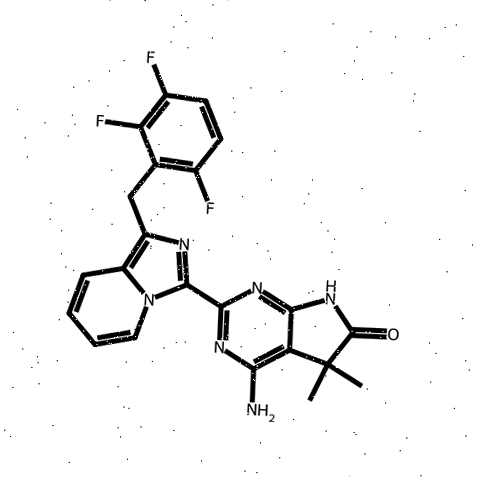 CC1(C)C(=O)Nc2nc(-c3nc(Cc4c(F)ccc(F)c4F)c4ccccn34)nc(N)c21